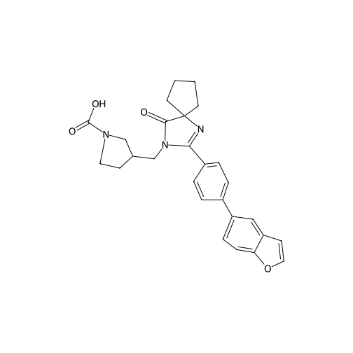 O=C(O)N1CCC(CN2C(=O)C3(CCCC3)N=C2c2ccc(-c3ccc4occc4c3)cc2)C1